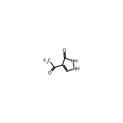 O=C(c1c[nH][nH]c1=O)C(F)(F)F